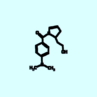 CN(C)c1ccc(C(=O)N2C=CCC2CCO)cc1